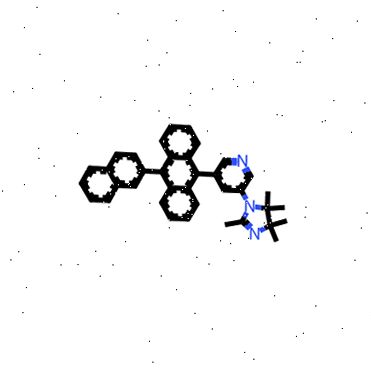 CC1=NC(C)(C)C(C)(C)N1c1cncc(-c2c3ccccc3c(-c3ccc4ccccc4c3)c3ccccc23)c1